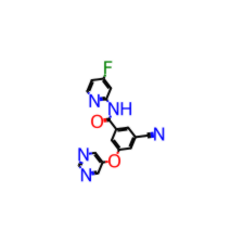 N#Cc1cc(Oc2cncnc2)cc(C(=O)Nc2cc(F)ccn2)c1